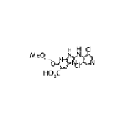 COCCOc1nc2[nH]c(Nc3c(Cl)cncc3Cl)nc2cc1C(=O)O